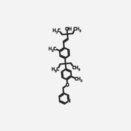 CCC(O)(C=Cc1ccc(C(CC)(CC)c2ccc(OCc3cccnc3)c(C)c2)cc1C)CC